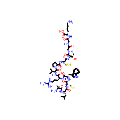 CC(C)C[C@H](NC(=O)[C@H](C)N)C(=O)N[C@@H](CS)C(=O)N[C@@H](Cc1c[nH]c2ccccc12)C(=O)N[C@@H](CCCNC(=N)N)C(=O)N[C@H](C(=O)N1CCC[C@H]1C(=O)N[C@@H](CS)C(=O)N[C@H](C(=O)NCC(=O)NCC(=O)N[C@@H](CCCCN)C(=O)O)[C@@H](C)O)C(C)C